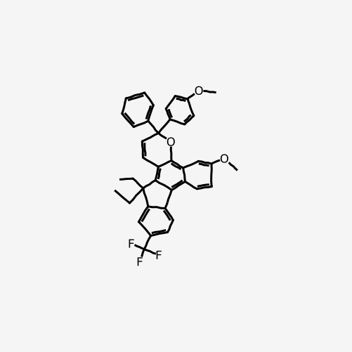 CCC1(CC)c2cc(C(F)(F)F)ccc2-c2c1c1c(c3cc(OC)ccc23)OC(c2ccccc2)(c2ccc(OC)cc2)C=C1